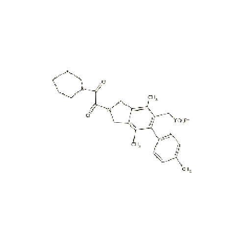 CCOC(=O)Cc1c(C)c2c(c(C)c1-c1ccc(C)cc1)CN(C(=O)C(=O)N1CCCCC1)C2